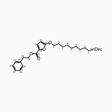 CCCCCCCCCCCCCCCCCCCOc1ccc(C(=O)OCCc2ccccc2)o1